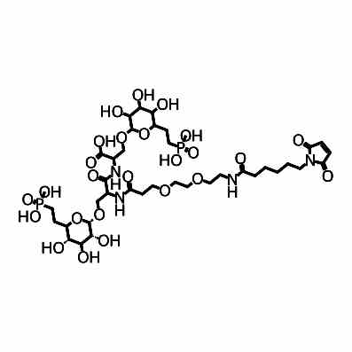 O=C(CCCCCN1C(=O)C=CC1=O)NCCOCCOCCC(=O)NC(CO[C@H]1OC(CCP(=O)(O)O)[C@@H](O)C(O)[C@H]1O)C(=O)NC(COC1OC(CCP(=O)(O)O)C(O)C(O)C1O)C(=O)O